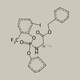 C[C@H](NP(=O)(Oc1ccccc1)Oc1c(I)cccc1C(F)(F)F)C(=O)OCc1ccccc1